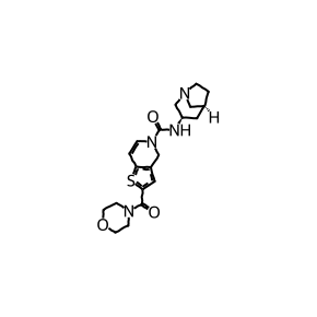 O=C(N[C@@H]1C[C@@H]2CCN(C2)C1)N1C=Cc2sc(C(=O)N3CCOCC3)cc2C1